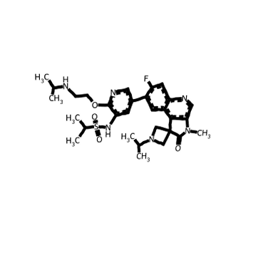 CC(C)NCCOc1ncc(-c2cc3c4c(cnc3cc2F)N(C)C(=O)C42CN(C(C)C)C2)cc1NS(=O)(=O)C(C)C